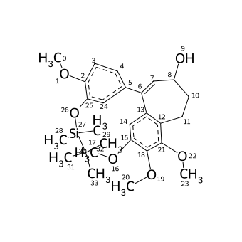 COc1ccc(C2=CC(O)CCc3c2cc(OC)c(OC)c3OC)cc1O[Si](C)(C)C(C)(C)C